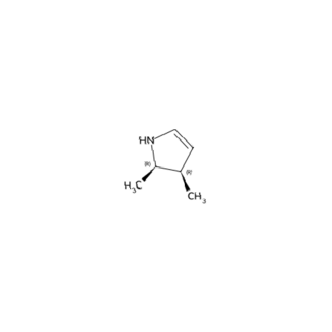 C[C@@H]1C=CN[C@@H]1C